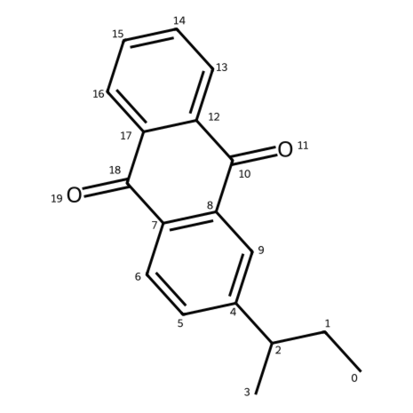 CCC(C)c1ccc2c(c1)C(=O)c1ccccc1C2=O